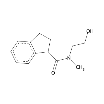 CN(CCO)C(=O)C1CCc2ccccc21